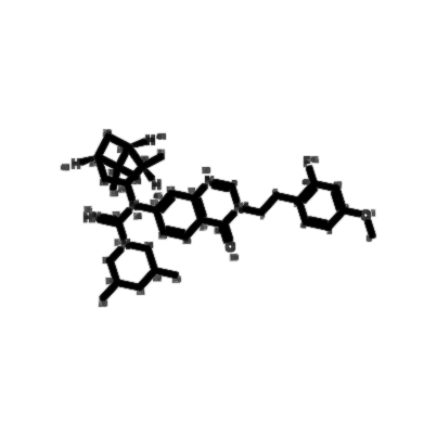 COc1ccc(CCn2cnc3cc(N(C(=N)N4CC(C)CC(C)C4)C4C[C@@H]5C[C@H]([C@@H]4C)C5(C)C)ccc3c2=O)c(F)c1